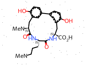 CNCCC[C@@H]1NC(=O)[C@@H](NC)Cc2cc(ccc2O)-c2ccc(O)c(c2)C[C@@H](C(=O)O)NC1=O